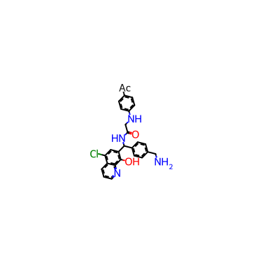 CC(=O)c1ccc(NCC(=O)NC(c2ccc(CN)cc2)c2cc(Cl)c3cccnc3c2O)cc1